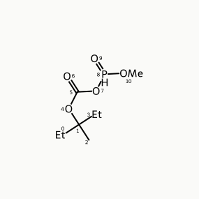 CCC(C)(CC)OC(=O)O[PH](=O)OC